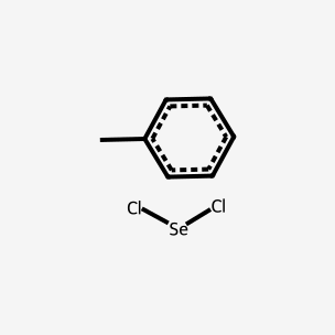 Cc1ccccc1.Cl[Se]Cl